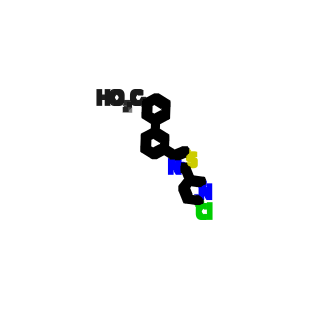 O=C(O)c1cccc(-c2cccc(-c3csc(-c4ccc(Cl)nc4)n3)c2)c1